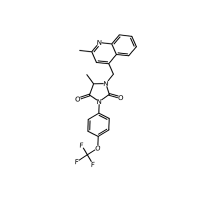 Cc1cc(CN2C(=O)N(c3ccc(OC(F)(F)F)cc3)C(=O)C2C)c2ccccc2n1